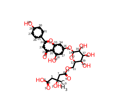 CC(O)(CC(=O)O)CC(=O)OCC1OC(Oc2cc(O)c3c(=O)cc(-c4ccc(O)cc4)oc3c2)C(O)C(O)C1O